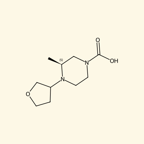 C[C@H]1CN(C(=O)O)CCN1C1CCOC1